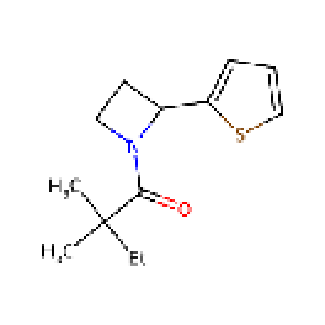 CCC(C)(C)C(=O)N1CCC1c1cccs1